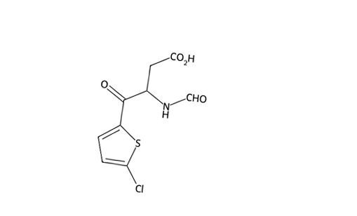 O=CNC(CC(=O)O)C(=O)c1ccc(Cl)s1